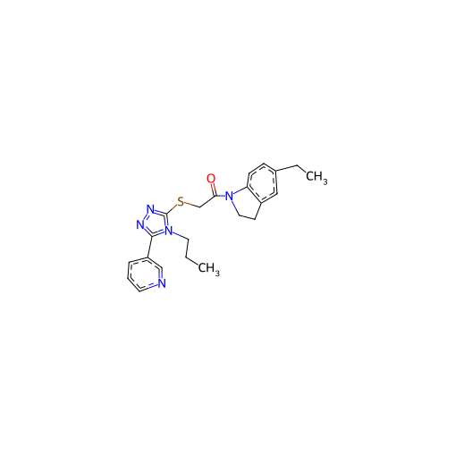 CCCn1c(SCC(=O)N2CCc3cc(CC)ccc32)nnc1-c1cccnc1